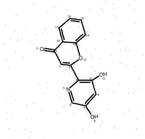 O=c1cc(-c2ncc(O)cc2O)oc2ccccc12